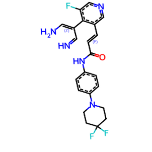 N=C/C(=C\N)c1c(F)cncc1/C=C/C(=O)Nc1ccc(N2CCC(F)(F)CC2)cc1